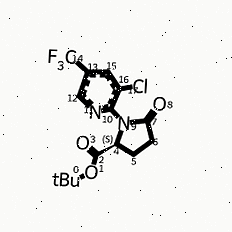 CC(C)(C)OC(=O)[C@@H]1CCC(=O)N1c1ncc(C(F)(F)F)cc1Cl